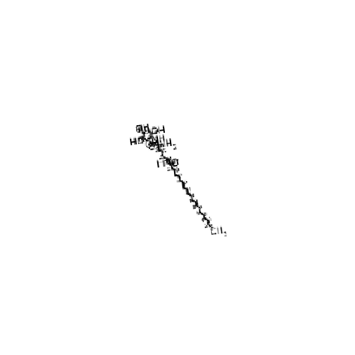 CCC=CCC=CCC=CCC=CCC=CCC=CCCC(=O)NCCCC[C@H](N)C(=O)N[C@@H]1[C@@H](O)[C@H](O)[C@@H](CO)O[C@H]1O